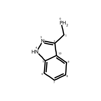 PCc1n[nH]c2ccccc12